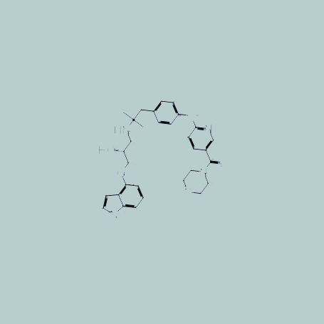 CC(C)(Cc1ccc(Oc2ccc(C(=O)N3CCOCC3)cn2)cc1)NC[C@H](O)COc1cccc2[nH]ccc12